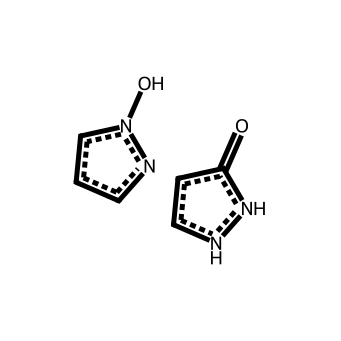 O=c1cc[nH][nH]1.On1cccn1